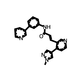 Cn1cc(-c2ccncc2C=CC(=O)Nc2cccc(-c3cccnc3)c2)cn1